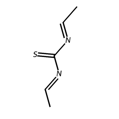 CC=NC(=S)N=CC